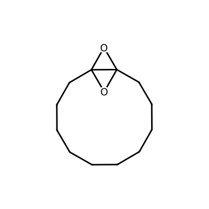 C1CCCCCC23OC2(CCCC1)O3